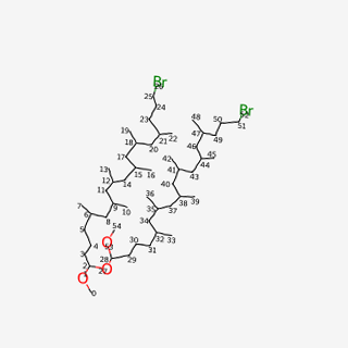 COC(CCCC(C)CC(C)CC(C)CC(C)CC(C)CC(C)CCCBr)OC(CCCC(C)CC(C)CC(C)CC(C)CC(C)CC(C)CCCBr)OC